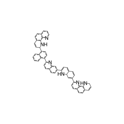 C1=Cc2ccc3ccc(C4=CC5NC(c6ccc7ccc(-c8ccc(C9C=Cc%10ccc%11cccnc%11c%10N9)c9ccccc89)nc7c6)=CC=C5C=C4)nc3c2NC1